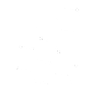 CC(=O)c1cc(C)c(F)c2c(=O)n(C)c(C3CCOCC3)nc12